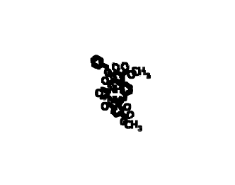 COC(=O)c1ccc(C(=O)N[C@H]2COC[C@H]2NC(=O)c2ccc(C(=O)OC)c(=O)n2OCc2ccccc2)n(OCc2ccccc2)c1=O